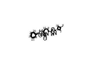 C[C@H]1C[C@H](c2nnc([C@@H]3CC[C@@H]4CN3C(=O)N4OCc3ccccc3)o2)C1